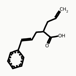 C=CCC(C/C=C/c1ccccc1)C(=O)O